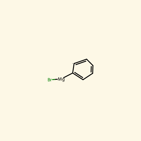 [Br][Mg][c]1[c]cccc1